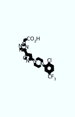 O=C(O)Cn1nnc(-c2cc(N3CCN(c4cc(C(F)(F)F)ccc4Cl)CC3)no2)n1